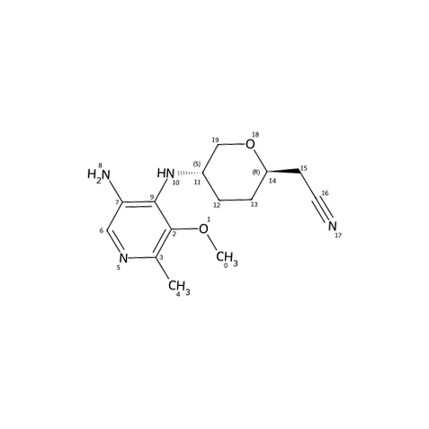 COc1c(C)ncc(N)c1N[C@H]1CC[C@H](CC#N)OC1